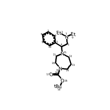 CCN(CC)CC(c1ccccc1)N1CCCN(C(=O)OC(C)(C)C)CC1